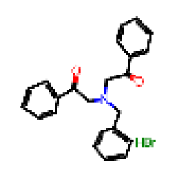 Br.O=C(CN(CC(=O)c1ccccc1)Cc1ccccc1)c1ccccc1